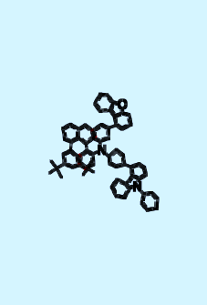 CC(C)(C)c1cc(-c2cccc3cccc(-c4ccccc4N(c4ccc(-c5cccc6c5c5ccccc5n6-c5ccccc5)cc4)c4cccc(-c5cccc6oc7ccccc7c56)c4)c23)cc(C(C)(C)C)c1